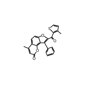 Cc1ccsc1C(=O)c1oc2ccc3c(C)cc(=O)oc3c2c1-c1ccccc1